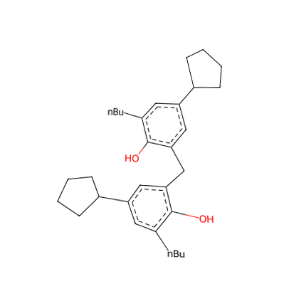 CCCCc1cc(C2CCCC2)cc(Cc2cc(C3CCCC3)cc(CCCC)c2O)c1O